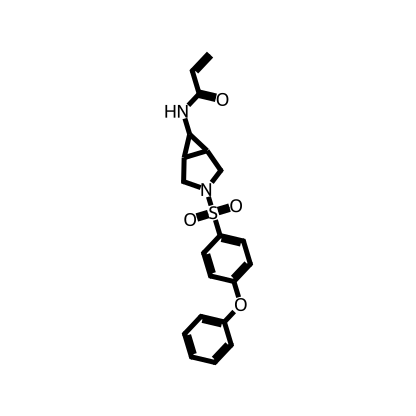 C=CC(=O)NC1C2CN(S(=O)(=O)c3ccc(Oc4ccccc4)cc3)CC21